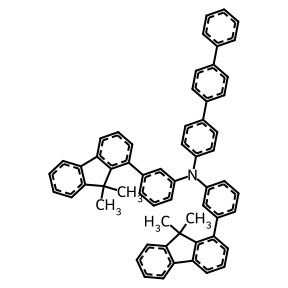 CC1(C)c2ccccc2-c2cccc(-c3cccc(N(c4ccc(-c5ccc(-c6ccccc6)cc5)cc4)c4cccc(-c5cccc6c5C(C)(C)c5ccccc5-6)c4)c3)c21